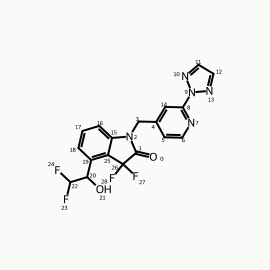 O=C1N(Cc2ccnc(-n3nccn3)c2)c2cccc(C(O)C(F)F)c2C1(F)F